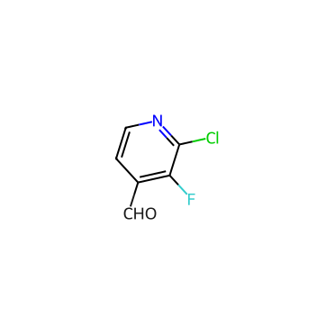 O=Cc1ccnc(Cl)c1F